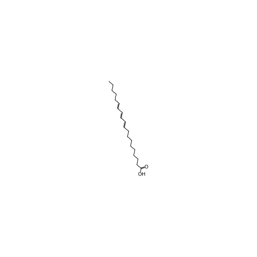 CCCCC/C=C/C=C/C=C/CCCCCCCCC(=O)O